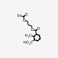 CCC(=O)OCCCOC(=O)c1cccc(C(=O)O)c1C